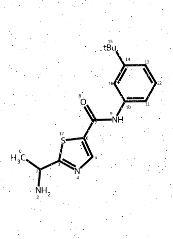 CC(N)c1ncc(C(=O)Nc2cccc(C(C)(C)C)c2)s1